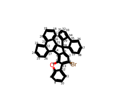 Brc1cc2c(c3oc4ccccc4c13)-c1c(c3ccccc3c3ccccc13)C21c2ccccc2-c2ccccc21